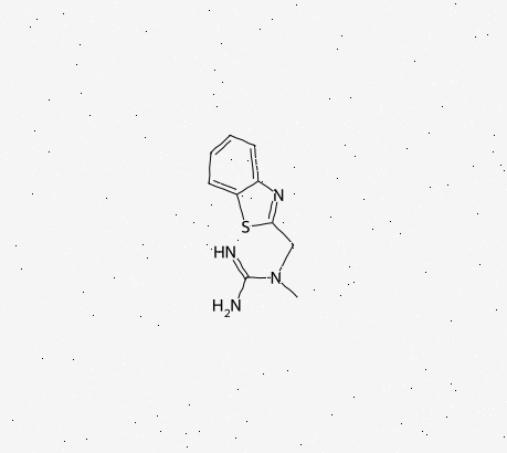 CN(Cc1nc2ccccc2s1)C(=N)N